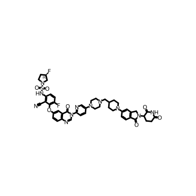 N#Cc1c(NS(=O)(=O)N2CC[C@@H](F)C2)ccc(F)c1Oc1ccc2ncn(-c3ccc(N4CCN(CC5CCN(c6ccc7c(c6)CN(C6CCC(=O)NC6=O)C7=O)CC5)CC4)cn3)c(=O)c2c1